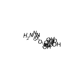 Nc1ncnn2c(COCCP(=O)(O)OP(=O)(O)OP(=O)(O)O)ccc12